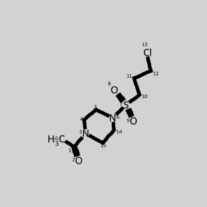 CC(=O)N1CCN(S(=O)(=O)CCCCl)CC1